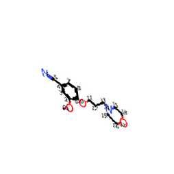 COc1cc(C#N)ccc1OCCCN1CCOCC1